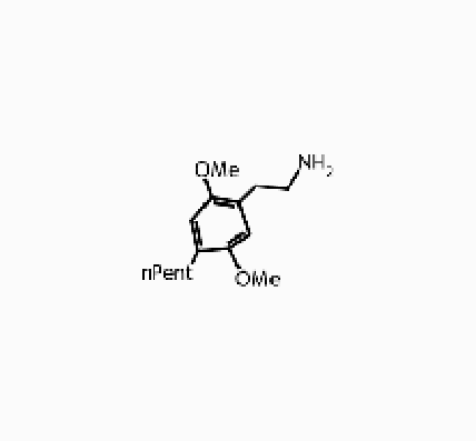 CCCCCc1cc(OC)c(CCN)cc1OC